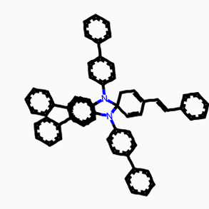 C(=Cc1ccccc1)C1=CCC(N(c2ccc(-c3ccccc3)cc2)c2ccc(-c3ccccc3)cc2)(N(c2ccc(-c3ccccc3)cc2)c2ccc(-c3ccccc3)cc2)C=C1